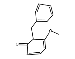 COC1=CC=[C]C(=O)C1Cc1ccccc1